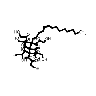 CCCCCCCC/C=C\CCCCC(C(=O)C(O)CO)(C(=O)C(O)CO)C(C(=O)C(O)CO)(C(=O)C(O)CO)C(C(=O)O)(C(=O)C(O)CO)C(=O)C(O)CO